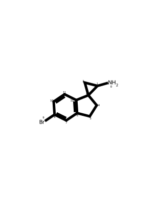 NC1CC12CCc1cc(Br)ccc12